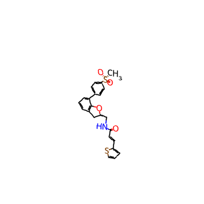 CS(=O)(=O)c1ccc(-c2cccc3c2OC(CNC(=O)/C=C/c2cccs2)C3)cc1